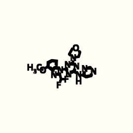 COc1cccc2c1nc(C(F)F)n2-c1nc(Nc2ccncn2)nc(N2CCOCC2)n1